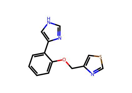 c1ccc(-c2c[nH]cn2)c(OCc2cscn2)c1